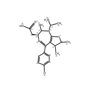 CC1SC2=C(C(c3ccc(Cl)cc3)=N[C@@H](CC(=O)O)C(N)N2C(C)N)C1C